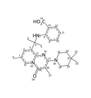 Cc1cc(C(C)(C)Nc2ccccc2C(=O)O)c2nc(N3CCC(C)(C)CC3)c(C)c(=O)n2c1